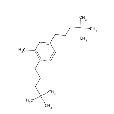 Cc1cc(CCCC(C)(C)C)ccc1CCCC(C)(C)C